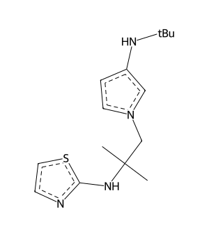 CC(C)(C)Nc1ccn(CC(C)(C)Nc2nccs2)c1